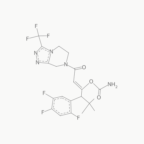 CC(C)(C)C(C(=CC(=O)N1CCn2c(nnc2C(F)(F)F)C1)OC(N)=O)c1cc(F)c(F)cc1F